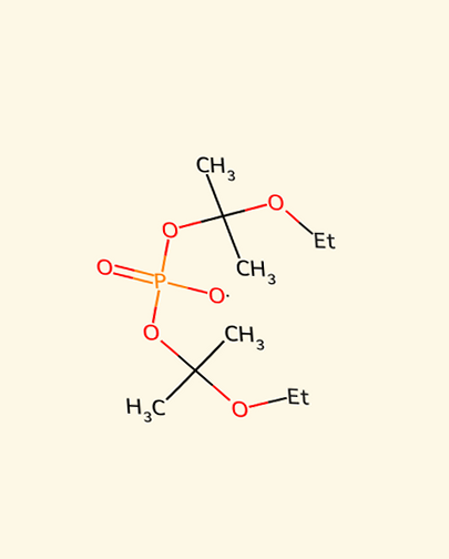 CCOC(C)(C)OP([O])(=O)OC(C)(C)OCC